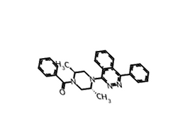 C[C@@H]1CN(C(=O)c2ccccc2)[C@@H](C)CN1c1nnc(-c2ccccc2)c2ccccc12